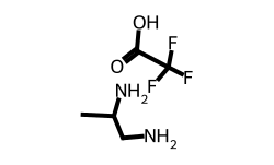 CC(N)CN.O=C(O)C(F)(F)F